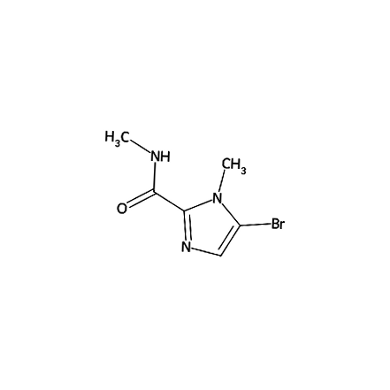 CNC(=O)c1ncc(Br)n1C